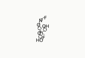 CC1=C(c2cccc(O)c2)[C@H](c2ccc(OCCN3CC(CF)C3)cc2)Oc2ccc(O)c(F)c21